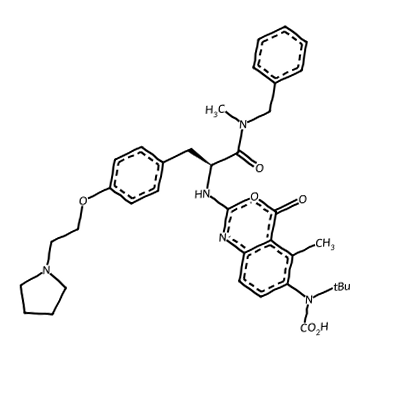 Cc1c(N(C(=O)O)C(C)(C)C)ccc2nc(N[C@@H](Cc3ccc(OCCN4CCCC4)cc3)C(=O)N(C)Cc3ccccc3)oc(=O)c12